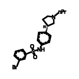 CCCN1CC[C@@H](c2ccc(NS(=O)(=O)c3cccc(Br)c3)cc2)C1